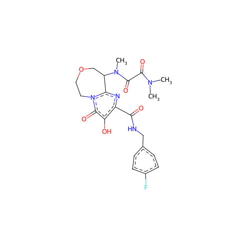 CN(C)C(=O)C(=O)N(C)C1COCCn2c1nc(C(=O)NCc1ccc(F)cc1)c(O)c2=O